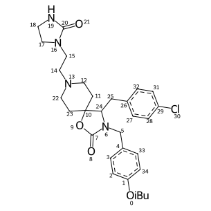 CC(C)COc1ccc(CN2C(=O)OC3(CCN(CCN4CCNC4=O)CC3)C2Cc2ccc(Cl)cc2)cc1